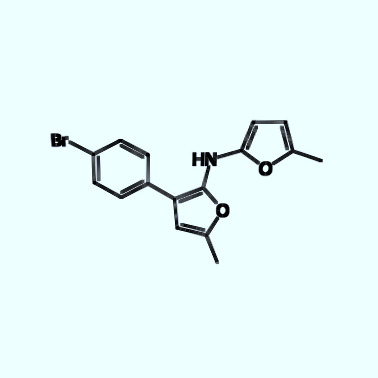 Cc1ccc(Nc2oc(C)cc2-c2ccc(Br)cc2)o1